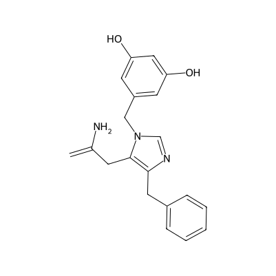 C=C(N)Cc1c(Cc2ccccc2)ncn1Cc1cc(O)cc(O)c1